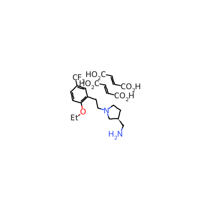 CCOc1ccc(C(F)(F)F)cc1CCN1CC[C@@H](CN)C1.O=C(O)/C=C/C(=O)O.O=C(O)/C=C/C(=O)O